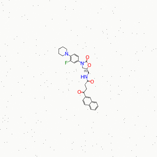 O=C(CCC(=O)c1ccc2ccccc2c1)NC[C@H]1CN(c2ccc(N3CCCCC3)c(F)c2)C(=O)O1